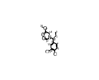 CC[C@@H](c1ccc(Cl)c(Cl)c1)N(C=O)CC(=O)OC